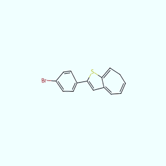 Brc1ccc(-c2cc3c(s2)=CCC=CC=3)cc1